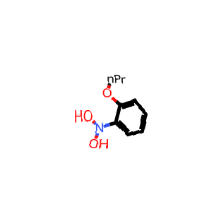 CCCOc1ccccc1N(O)O